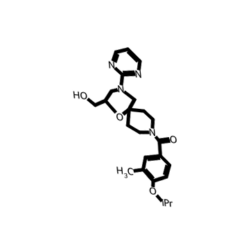 Cc1cc(C(=O)N2CCC3(CC2)CN(c2ncccn2)CC(CO)O3)ccc1OC(C)C